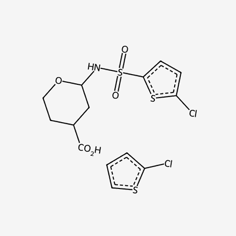 Clc1cccs1.O=C(O)C1CCOC(NS(=O)(=O)c2ccc(Cl)s2)C1